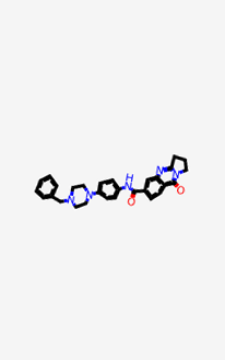 O=C(Nc1ccc(N2CCN(Cc3ccccc3)CC2)cc1)c1ccc2c(=O)n3c(nc2c1)CCC3